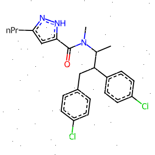 CCCc1cc(C(=O)N(C)C(C)C(Cc2ccc(Cl)cc2)c2ccc(Cl)cc2)[nH]n1